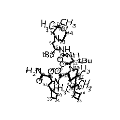 CC1(C)CN(C[C@@H](NC(=O)N[C@@H](C(=O)N2CC(C)(C(C)(C)C3CCC3)C[C@H]2C(=O)NC(CC2CCC2)C(=O)C(N)=O)C(C)(C)C)C(C)(C)C)CCO1